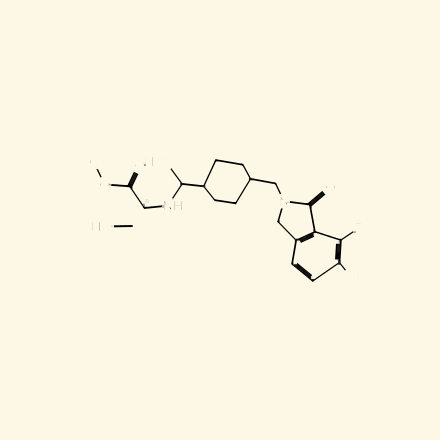 COC(=O)[C@@H](CO)NC(C)C1CCC(CN2Cc3ccc(O)c(F)c3C2=O)CC1